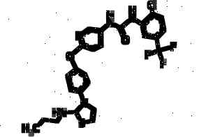 CCCNC1SC=CN1c1ccc(Oc2ccc(NC(=O)Nc3cc(C(F)(F)F)ccc3Cl)cn2)cc1